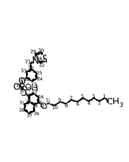 CCCCCCCCCCCCOc1ccc(OP(=O)(O)Oc2cccc(C[n+]3ccsc3)c2)c2ccccc12